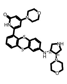 O=c1cc(N2CCOCC2)cc(-c2cccc3c2Sc2ccc(N[C@@H]4CNC[C@H]4N4CCOCC4)cc2S3)[nH]1